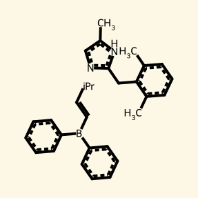 CC(C)C=CB(c1ccccc1)c1ccccc1.Cc1cnc(Cc2c(C)cccc2C)[nH]1